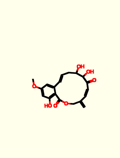 C=C1/C=C\C(=O)C(O)C(O)C/C=C/c2cc(OC)cc(O)c2C(=O)OC1